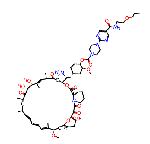 CCCOCCNC(=O)c1cnc(N2CCN(C(=O)O[C@@H]3CC[C@@H](C[C@@H](N)[C@@H]4CC(=O)[C@H](C)/C=C(\C)[C@@H](O)[C@@H](O)C(=O)C(C)C[C@H](C)/C=C/C=C/C=C(\C)[C@@H](OC)C[C@@H]5CC[C@@H](C)[C@@](O)(O5)C(=O)C(=O)N5CCCC[C@H]5C(=O)O4)C[C@H]3OC)CC2)nc1